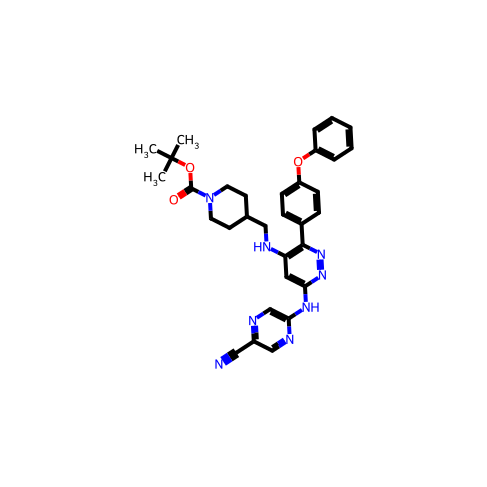 CC(C)(C)OC(=O)N1CCC(CNc2cc(Nc3cnc(C#N)cn3)nnc2-c2ccc(Oc3ccccc3)cc2)CC1